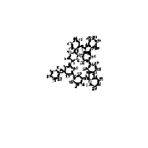 c1ccc(-c2cc(-c3ccccc3)cc(-c3cccc(-n4c5ccccc5c5ccc(-c6ccc7c(c6)c6ccccc6n7-c6ccccc6)cc54)c3)c2)cc1